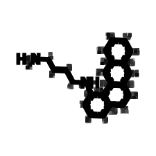 NCC=CCNc1cccc2ccc3cc4ccccc4cc3c12